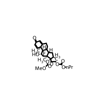 CCCOC(=O)OCC(=O)[C@@]1(OC(=O)OC)[C@H](C)C[C@H]2[C@@H]3CCC4=CC(=O)C=C[C@]4(C)[C@@]3(F)[C@@H](O)C[C@@]21C